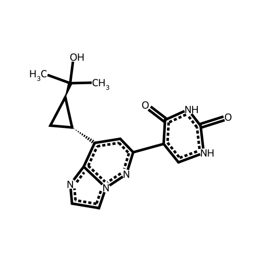 CC(C)(O)[C@@H]1C[C@H]1c1cc(-c2c[nH]c(=O)[nH]c2=O)nn2ccnc12